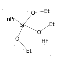 CCC[Si](OCC)(OCC)OCC.F